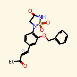 CCC(=O)/C=C/c1ccc(N2CC(=O)NS2(=O)=O)c(OCc2ccccc2)c1